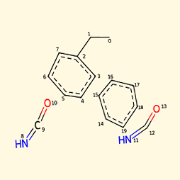 CCc1ccccc1.N=C=O.N=C=O.c1ccccc1